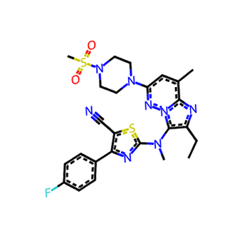 CCc1nc2c(C)cc(N3CCN(S(C)(=O)=O)CC3)nn2c1N(C)c1nc(-c2ccc(F)cc2)c(C#N)s1